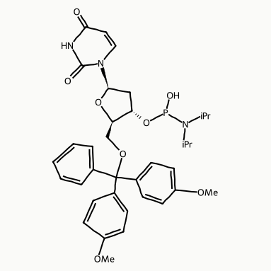 COc1ccc(C(OC[C@H]2O[C@@H](n3ccc(=O)[nH]c3=O)C[C@@H]2OP(O)N(C(C)C)C(C)C)(c2ccccc2)c2ccc(OC)cc2)cc1